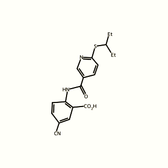 CCC(CC)Sc1ccc(C(=O)Nc2ccc(C#N)cc2C(=O)O)cn1